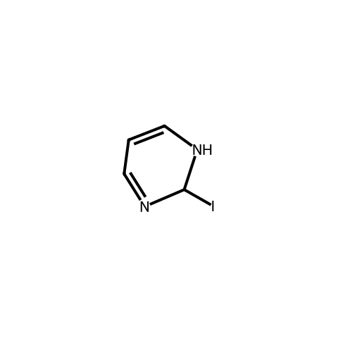 IC1N=CC=CN1